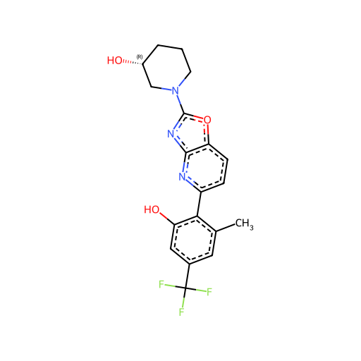 Cc1cc(C(F)(F)F)cc(O)c1-c1ccc2oc(N3CCC[C@@H](O)C3)nc2n1